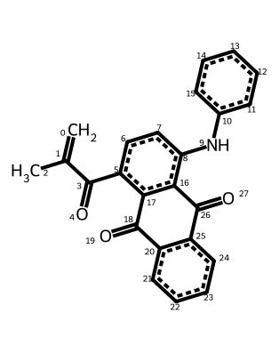 C=C(C)C(=O)c1ccc(Nc2ccccc2)c2c1C(=O)c1ccccc1C2=O